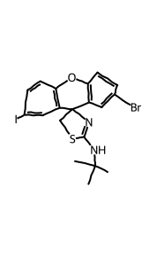 CC(C)(C)NC1=NC2(CS1)c1cc(Br)ccc1Oc1ccc(I)cc12